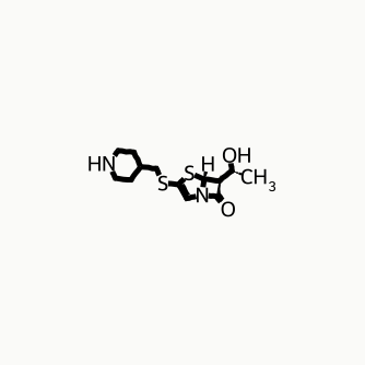 C[C@@H](O)[C@H]1C(=O)N2C=C(SCC3CCNCC3)S[C@H]12